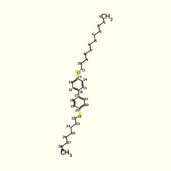 CCCCCCCCCCCCSc1ccc(-c2ccc(SCCCCCCCC)cc2)cc1